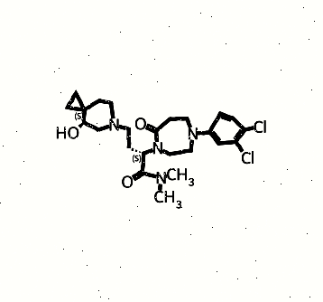 CN(C)C(=O)[C@H](CCN1CCC2(CC2)[C@H](O)C1)N1CCN(c2ccc(Cl)c(Cl)c2)CCC1=O